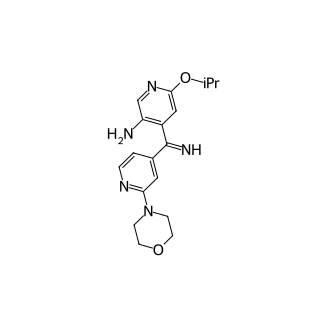 CC(C)Oc1cc(C(=N)c2ccnc(N3CCOCC3)c2)c(N)cn1